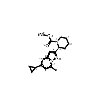 Cc1cc(C2CC2)nc2cc([C@@H]3CCCCN3C(=O)OC(C)(C)C)nn12